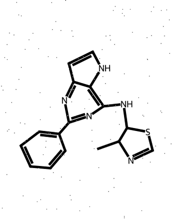 CC1N=CSC1Nc1nc(-c2ccccc2)nc2cc[nH]c12